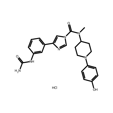 CN(C(=O)n1cnc(-c2cccc(NC(N)=O)c2)c1)C1CCN(c2ccc(O)cc2)CC1.Cl